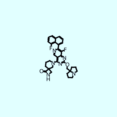 O=C1NCC12CCCN(c1nc(OCC34CCCN3CCC4)nc3c(F)c(-c4cccc5cccc(F)c45)ncc13)C2